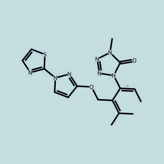 C/C=C(\C(COc1ccn(-c2nccs2)n1)=C(C)C)n1nnn(C)c1=O